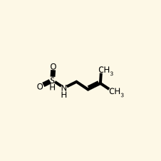 CC(C)=CCN[SH](=O)=O